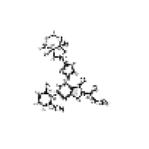 CN1CCO[C@@H]2CN(c3ccn(-c4cc(-c5c(F)cccc5C#N)nc5c4C(=O)N(C(=O)OC(C)(C)C)C5)n3)C[C@@H]21